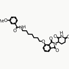 COc1cccc(C(=O)NCCCCCCCOc2cccc3c2C(=O)N(C2CCC(=O)NC2=O)C3=O)c1